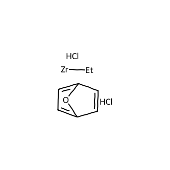 C[CH2][Zr].Cl.Cl.c1cc2ccc1o2